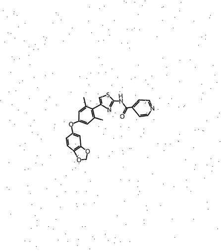 Cc1cc(Oc2ccc3c(c2)OCO3)cc(C)c1-c1csc(NC(=O)c2ccncc2)n1